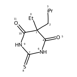 CCC1(CC(C)C)C(=O)NC(=S)NC1=O